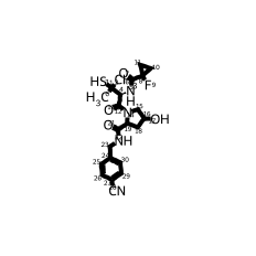 CC(C)(S)[C@H](NC(=O)C1(F)CC1)C(=O)N1CC(O)CC1C(=O)NCc1ccc(C#N)cc1